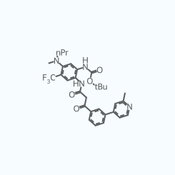 CCCN(C)c1cc(NC(=O)OC(C)(C)C)c(NC(=O)CC(=O)c2cccc(-c3ccnc(C)c3)c2)cc1C(F)(F)F